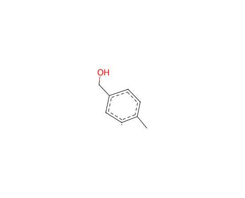 Cc1[c]cc(CO)cc1